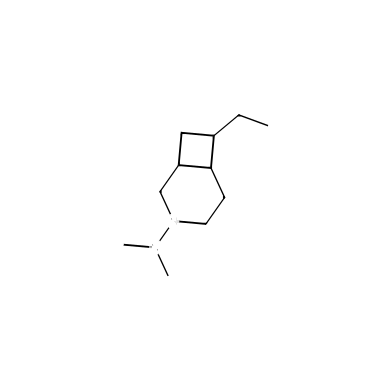 CCC1CC2CN(N(C)C)CCC12